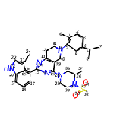 Cc1ccc(C(C)C)cc1N1CCc2nc(-c3cccc4[nH]cc(C)c34)nc(N3CCN(S(C)(=O)=O)[C@H](C)C3)c2C1